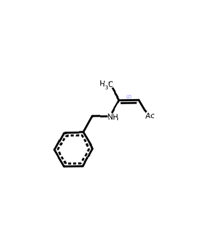 CC(=O)/C=C(/C)NCc1ccccc1